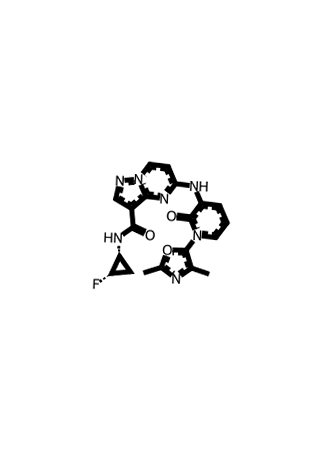 Cc1nc(C)c(-n2cccc(Nc3ccn4ncc(C(=O)N[C@@H]5C[C@@H]5F)c4n3)c2=O)o1